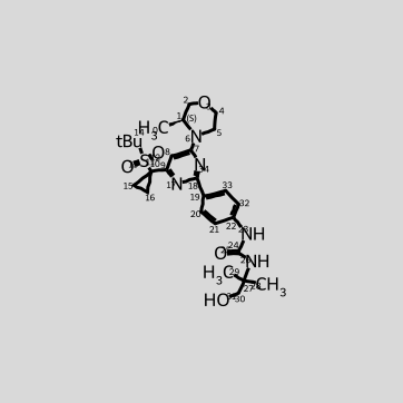 C[C@H]1COCCN1c1cc(C2(S(=O)(=O)C(C)(C)C)CC2)nc(-c2ccc(NC(=O)NC(C)(C)CO)cc2)n1